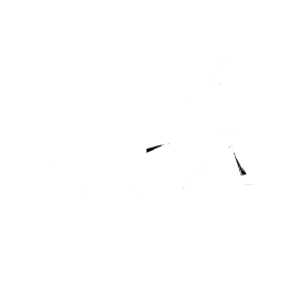 O=C1C[C@@H]2C[C@]2(c2cccc3ccccc23)C1